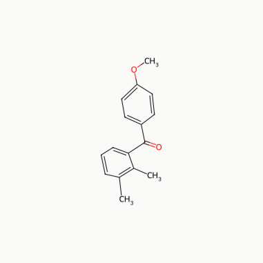 COc1ccc(C(=O)c2cccc(C)c2C)cc1